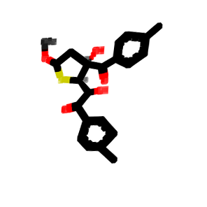 CC(=O)OOC1C[C@@](O)(C(=O)c2ccc(C)cc2)[C@@H](C(O)C(=O)c2ccc(C)cc2)S1